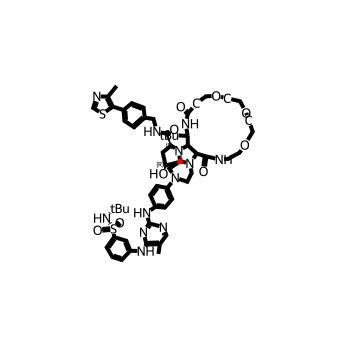 Cc1cnc(Nc2ccc(N3CCN(C4C(=O)NCCOCCOCCOCCC(=O)NC(C(C)(C)C)C4N4C[C@H](O)C[C@H]4C(=O)NCc4ccc(-c5scnc5C)cc4)CC3)cc2)nc1Nc1cccc(S(=O)(=O)NC(C)(C)C)c1